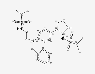 CC(C)S(=O)(=O)NCCN(Cc1ccccc1)c1ccc(C2CCCC2NS(=O)(=O)C(C)C)cc1